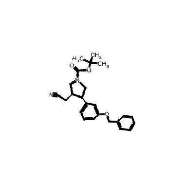 CC(C)(C)OC(=O)N1C[C@H](CC#N)[C@H](c2cccc(OCc3ccccc3)c2)C1